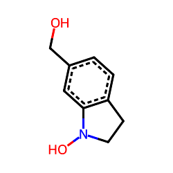 OCc1ccc2c(c1)N(O)CC2